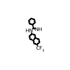 N=C(Nc1ccc2cc(C(F)(F)F)ccc2c1)c1ccccc1